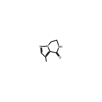 Cc1cnn2c1C(=O)NCC2